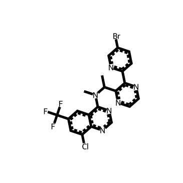 CC(c1nccnc1-c1ccc(Br)cn1)N(C)c1ncnc2c(Cl)cc(C(F)(F)F)cc12